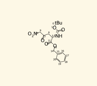 CC(C)(C)OC(=O)NC(CC(=O)C[N+](=O)[O-])C(=O)OCc1ccccc1